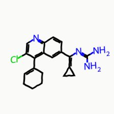 NC(N)=NC(=C1CC1)c1ccc2ncc(Cl)c(C3=CCCCC3)c2c1